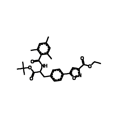 CCOC(=O)c1cc(-c2ccc(CC(NC(=O)c3c(C)cc(C)cc3C)C(=O)OC(C)(C)C)cc2)on1